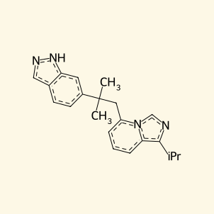 CC(C)c1ncn2c(CC(C)(C)c3ccc4cn[nH]c4c3)cccc12